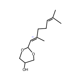 CC(C)=CCC/C(C)=C/C1OCC(O)CO1